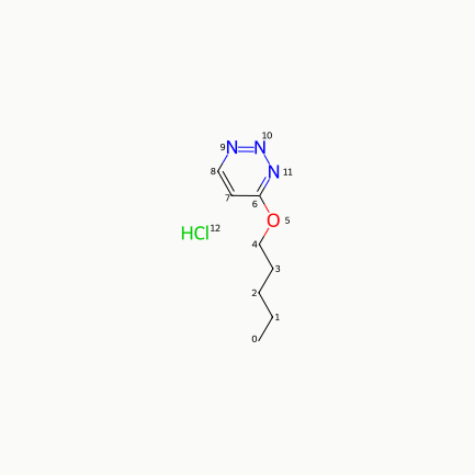 CCCCCOc1ccnnn1.Cl